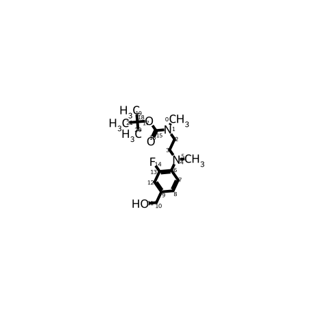 CN(CCN(C)c1ccc(CO)cc1F)C(=O)OC(C)(C)C